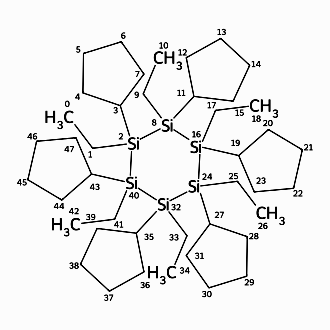 CC[Si]1(C2CCCC2)[Si](CC)(C2CCCC2)[Si](CC)(C2CCCC2)[Si](CC)(C2CCCC2)[Si](CC)(C2CCCC2)[Si]1(CC)C1CCCC1